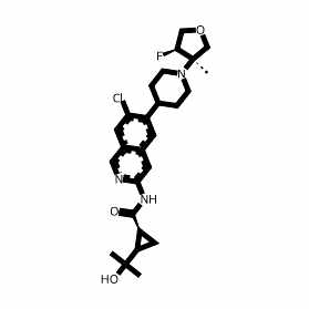 CC(C)(O)C1C[C@@H]1C(=O)Nc1cc2cc(C3CCN([C@]4(C)COC[C@@H]4F)CC3)c(Cl)cc2cn1